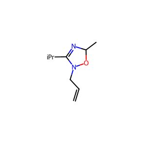 C=CCN1OC(C)N=C1C(C)C